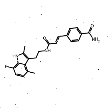 Cc1[nH]c2c(F)ccc(C)c2c1CCNC(=O)/C=C/c1ccc(C(N)=O)cc1